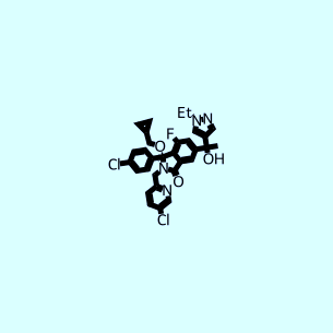 CCn1cc(C(C)(O)c2cc(F)c3c(c2)C(=O)N(Cc2ccc(Cl)cn2)[C@@]3(OCC2CC2)c2ccc(Cl)cc2)cn1